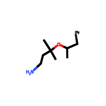 CC(C)CC(C)OC(C)(C)CCN